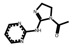 CC(=O)N1CCN=C1Nc1ncccn1